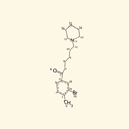 Cc1ccc(C(=O)CCCCCN2CC[CH]CC2)cc1Br